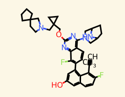 C#Cc1c(F)ccc2cc(O)cc(-c3c(C)cc4c(N5CC6CCC(C5)N6)nc(OCC5(CN6CCC7(CCCC7)C6)CC5)nc4c3F)c12